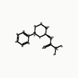 CN(C)C(=O)O[C@H]1CN(c2ccccc2)CC[N]1